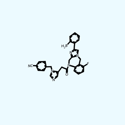 Bc1ccccc1-c1cn2c(n1)CN(C(=O)Cc1cncn1Cc1ccc(C#N)cc1)c1cccc(F)c1C2